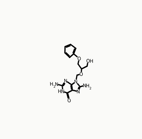 Nc1nc2c(nc(N)n2COC(CO)COc2ccccc2)c(=O)[nH]1